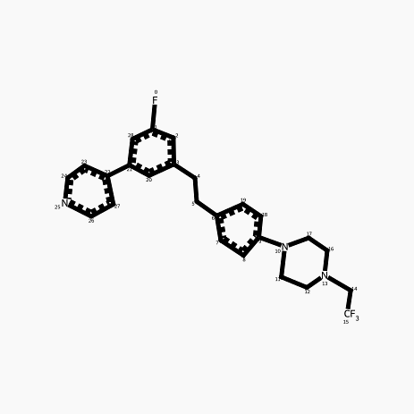 Fc1cc(CCc2ccc(N3CCN(CC(F)(F)F)CC3)cc2)cc(-c2ccncc2)c1